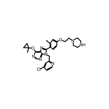 Cc1cc(OCCN2CCNCC2)ccc1-c1nc2c(OC3(C)CC3)ncnc2n1Cc1cc(Cl)ccn1